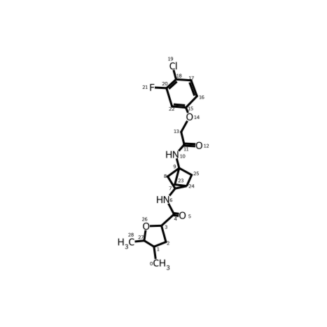 CC1CC(C(=O)NC2CC3(NC(=O)COc4ccc(Cl)c(F)c4)CC2C3)OC1C